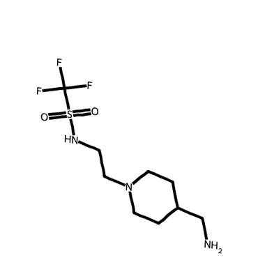 NCC1CCN(CCNS(=O)(=O)C(F)(F)F)CC1